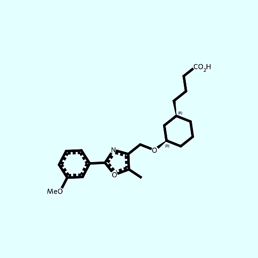 COc1cccc(-c2nc(CO[C@@H]3CCC[C@H](CCCC(=O)O)C3)c(C)o2)c1